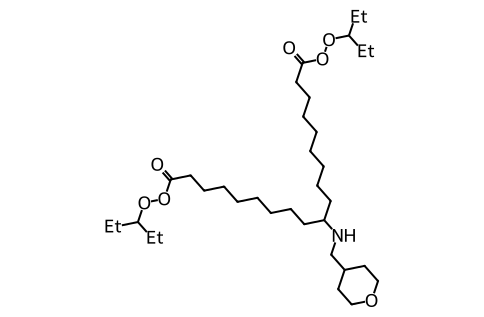 CCC(CC)OOC(=O)CCCCCCCCC(CCCCCCCCC(=O)OOC(CC)CC)NCC1CCOCC1